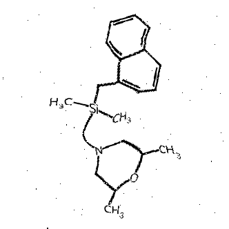 CC1CN(C[Si](C)(C)Cc2cccc3ccccc23)CC(C)O1